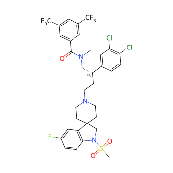 CN(C[C@@H](CCN1CCC2(CC1)CN(S(C)(=O)=O)c1ccc(F)cc12)c1ccc(Cl)c(Cl)c1)C(=O)c1cc(C(F)(F)F)cc(C(F)(F)F)c1